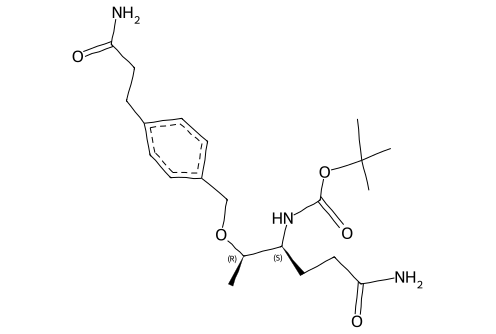 C[C@@H](OCc1ccc(CCC(N)=O)cc1)[C@H](CCC(N)=O)NC(=O)OC(C)(C)C